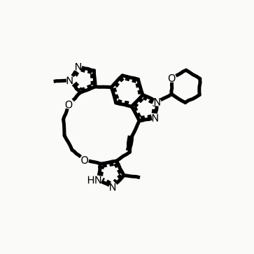 Cc1n[nH]c2c1/C=C/c1nn(C3CCCCO3)c3ccc(cc13)-c1cnn(C)c1OCCCO2